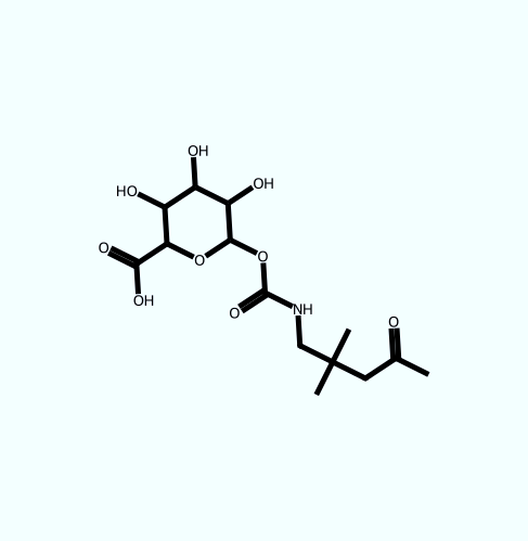 CC(=O)CC(C)(C)CNC(=O)OC1OC(C(=O)O)C(O)C(O)C1O